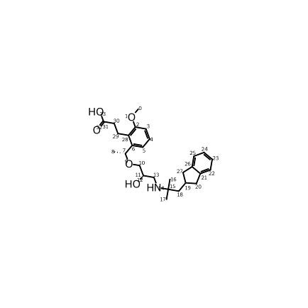 COc1cccc([C@@H](C)OC[C@H](O)CNC(C)(C)CC2Cc3ccccc3C2)c1CCC(=O)O